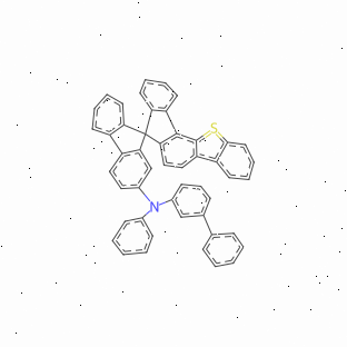 c1ccc(-c2cccc(N(c3ccccc3)c3ccc4c(c3)C3(c5ccccc5-4)c4ccccc4-c4c3ccc3c4sc4ccccc43)c2)cc1